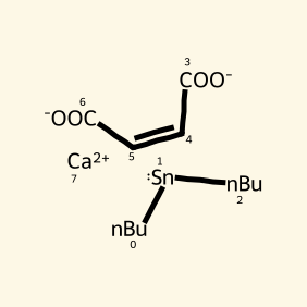 CCC[CH2][Sn][CH2]CCC.O=C([O-])/C=C\C(=O)[O-].[Ca+2]